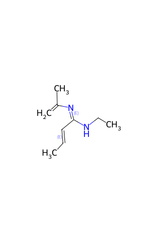 C=C(C)/N=C(\C=C\C)NCC